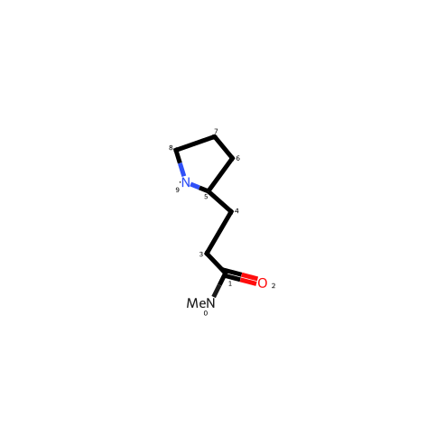 CNC(=O)CCC1CCC[N]1